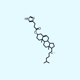 CC(C)CCC[C@@H](C)C1CCC2C3CC=C4CC(OC(=O)CCc5c[nH]cn5)CCC4(C)C3CCC21C